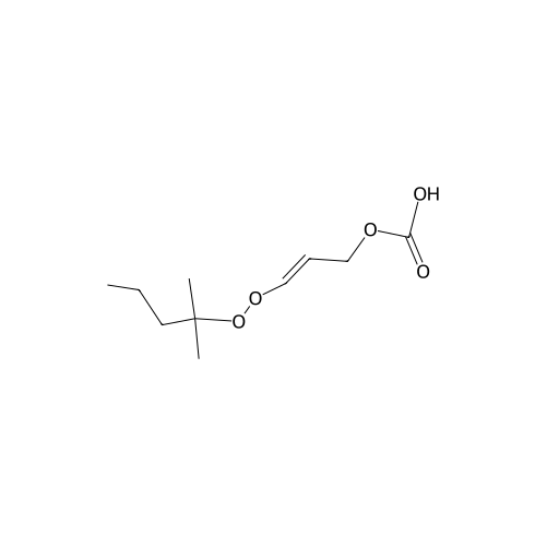 CCCC(C)(C)OOC=CCOC(=O)O